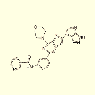 O=C(Nc1cccc(-c2nc(N3CCOCC3)c3sc(-c4ccnc5[nH]ncc45)cc3n2)c1)c1cccnc1